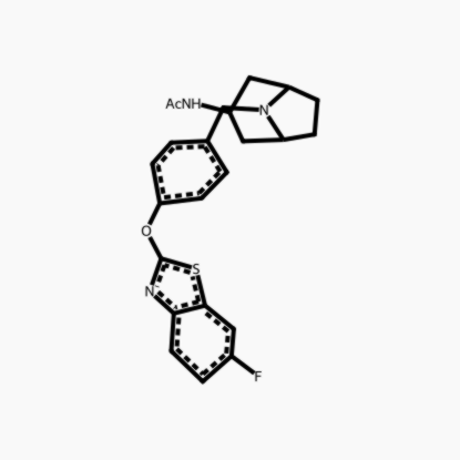 CC(=O)NC1CC2CCC(C1)N2Cc1ccc(Oc2nc3ccc(F)cc3s2)cc1